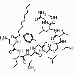 CCCCCCCCCC(=O)N[C@@H](CCN)C(=O)N[C@H](C(=O)N[C@@H](CCN)C(=O)N[C@H](Cc1ccccc1)C(=O)N[C@@H](CC(C)C)C(=O)N[C@@H](CCN)C(=O)N[C@@H](C(=O)N[C@@H](CC(C)C)C(=O)N[C@@H](CO)C(N)=O)C(C)C)[C@@H](C)CC